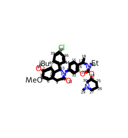 CC[C@@H](C)Oc1cc2c(cc1OC)CC(=O)N(c1ccc(C(C)N(CC)C(=O)OC3CCCN(C)C3)cc1)C2c1ccc(Cl)cc1